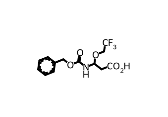 O=C(O)CC(NC(=O)OCc1ccccc1)OCC(F)(F)F